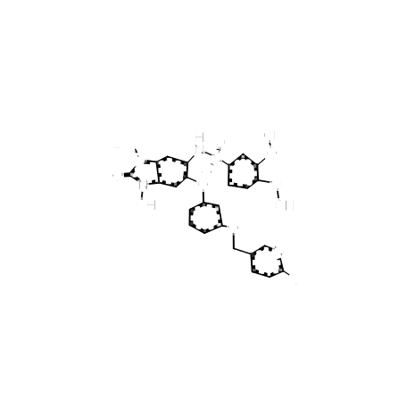 COc1ccc(S(=O)(=O)Nc2cc3c(cc2Oc2cccc(OCc4ccc(Cl)nc4)c2)n(C)c(=O)n3C)cc1OC